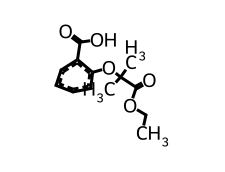 CCOC(=O)C(C)(C)Oc1ccccc1C(=O)O